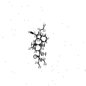 C#Cc1c2c3c(cccc3n1CCC)[C@H]1CC(NC(=O)N(CC)CC)CN(C)[C@@H]1C2